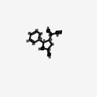 O=C1CC(C(=O)O)C(c2ccccc2)O1